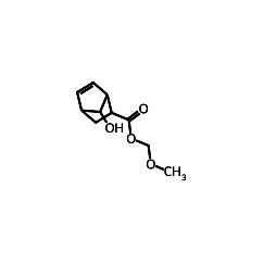 COCOC(=O)C1CC2C=CC1C2O